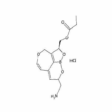 CCC(=O)OC[C@H]1OB2OC(CN)C=C3C=COCC1=C23.Cl